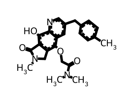 Cc1ccc(Cc2cnc3c(O)c4c(c(OCC(=O)N(C)C)c3c2)CN(C)C4=O)cc1